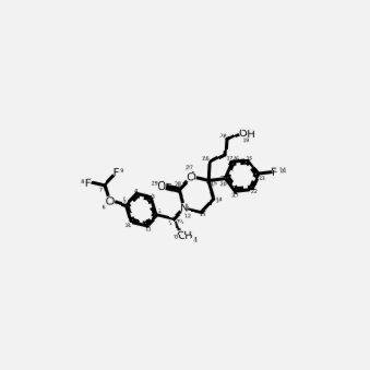 C[C@@H](c1ccc(OC(F)F)cc1)N1CCC(CCCO)(c2ccc(F)cc2)OC1=O